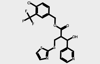 O=C(OCc1ccc(Cl)c(C(F)(F)F)c1)C(CSc1nccs1)C(O)c1cccnc1